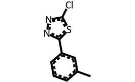 Cc1cccc(-c2nnc(Cl)s2)c1